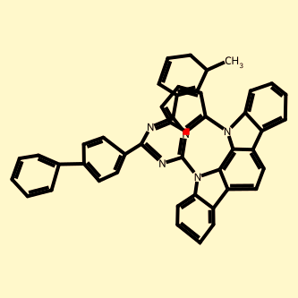 CC1C=C(c2nc(-c3ccc(-c4ccccc4)cc3)nc(-n3c4ccccc4c4ccc5c6ccccc6n(-c6ccccc6)c5c43)n2)C=CC1